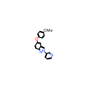 COc1ccc(Oc2ccc3nn(-c4cccnc4)cc3c2)cc1